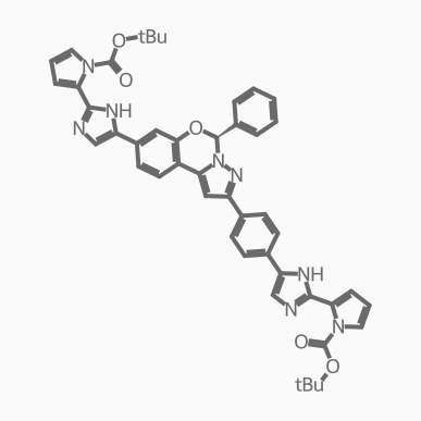 CC(C)(C)OC(=O)n1cccc1-c1ncc(-c2ccc(-c3cc4n(n3)[C@H](c3ccccc3)Oc3cc(-c5cnc(-c6cccn6C(=O)OC(C)(C)C)[nH]5)ccc3-4)cc2)[nH]1